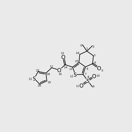 CC1(C)CC(=O)c2c(S(C)(=O)=O)sc(C(=O)OCc3ccsc3)c2C1